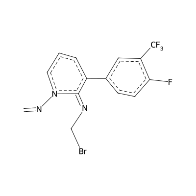 C=Nn1cccc(-c2ccc(F)c(C(F)(F)F)c2)/c1=N/CBr